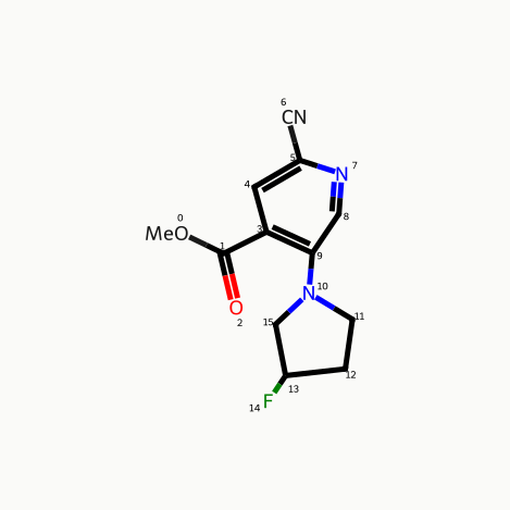 COC(=O)c1cc(C#N)ncc1N1CCC(F)C1